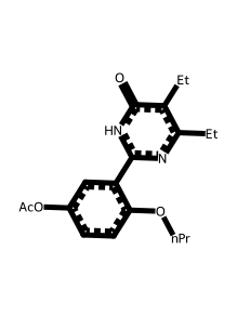 CCCOc1ccc(OC(C)=O)cc1-c1nc(CC)c(CC)c(=O)[nH]1